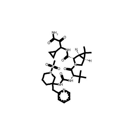 CC(C)(C)[C@H](NC(=O)NC1(Cc2ccccn2)CCCN(S(C)(=O)=O)C1)C(=O)N1C[C@H]2[C@@H]([C@H]1C(=O)NC(C(=O)C(N)=O)C1CC1)C2(C)C